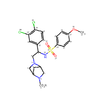 O=C(O)N1CC2CC1CN2CC(NS(=O)(=O)c1ccc(OC(F)(F)F)cc1)c1ccc(Cl)c(Cl)c1